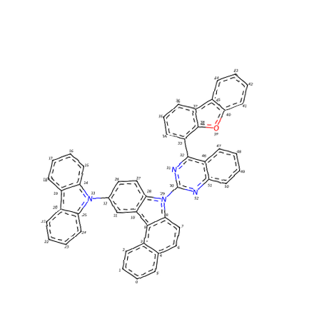 c1ccc2c(c1)ccc1c2c2cc(-n3c4ccccc4c4ccccc43)ccc2n1-c1nc(-c2cccc3c2oc2ccccc23)c2ccccc2n1